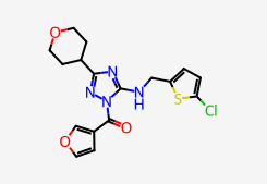 O=C(c1ccoc1)n1nc(C2CCOCC2)nc1NCc1ccc(Cl)s1